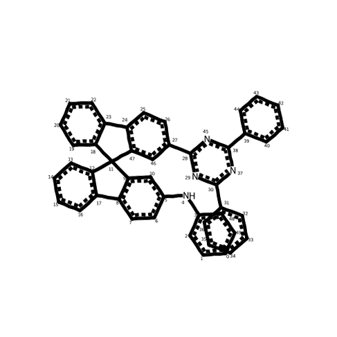 c1ccc(Nc2ccc3c(c2)C2(c4ccccc4-3)c3ccccc3-c3ccc(-c4nc(-c5ccccc5)nc(-c5ccccc5)n4)cc32)cc1